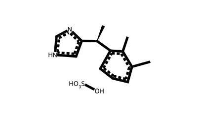 Cc1cccc([C@H](C)c2c[nH]cn2)c1C.O=S(=O)(O)O